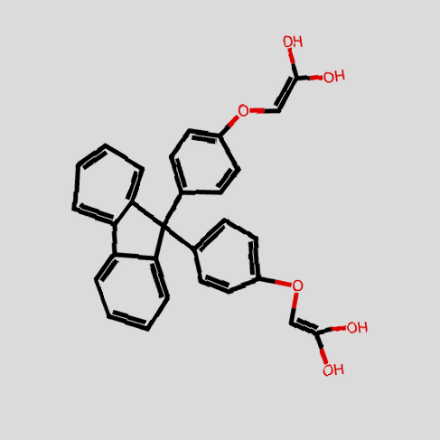 OC(O)=COc1ccc(C2(c3ccc(OC=C(O)O)cc3)c3ccccc3-c3ccccc32)cc1